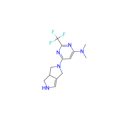 CN(C)c1cc(N2CC3=CNCC3C2)nc(C(F)(F)F)n1